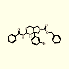 O=C(NC1NC2(c3cccc(Br)c3)CN(C(=O)OCc3ccccc3)CC2CS1)c1ccccc1